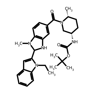 CCn1c(C2Nc3cc(C(=O)N4C[C@@H](NC(=O)OC(C)(C)C)CC[C@H]4C)ccc3N2C)cc2ccccc21